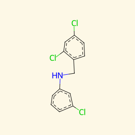 Clc1cccc(NCc2ccc(Cl)cc2Cl)c1